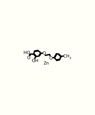 Cc1ccc(OCCOc2ccc(C(=O)O)c(O)c2)cc1.[Zn]